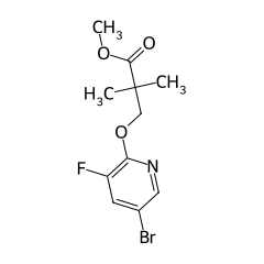 COC(=O)C(C)(C)COc1ncc(Br)cc1F